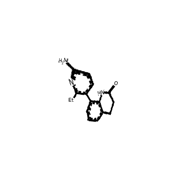 CCc1nc(N)ccc1-c1cccc2c1NC(=O)CC2